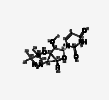 CO[C@H]1[C@H](n2ccc(=O)[nH]c2=O)O[C@@H]2C(N)C21O[Si](C)(C)C(C)(C)C